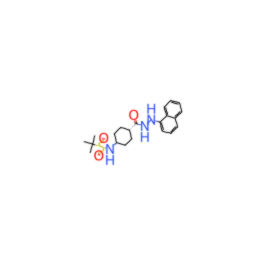 CC(C)(C)S(=O)(=O)N[C@H]1CC[C@H](C(=O)NNc2cccc3ccccc23)CC1